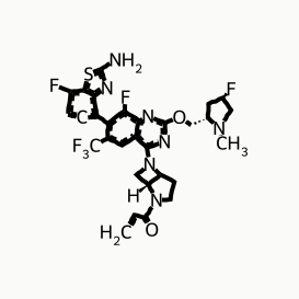 C=CC(=O)N1CCC2[C@H]1CN2c1nc(OC[C@@H]2C[C@@H](F)CN2C)nc2c(F)c(-c3ccc(F)c4sc(N)nc34)c(C(F)(F)F)cc12